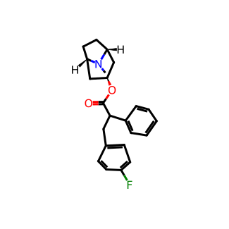 CN1[C@@H]2CC[C@H]1C[C@H](OC(=O)C(Cc1ccc(F)cc1)c1ccccc1)C2